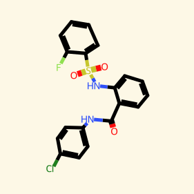 O=C(Nc1ccc(Cl)cc1)c1ccccc1NS(=O)(=O)c1ccccc1F